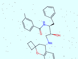 CCc1ccc2c(c1)[C@@H](NC[C@H](O)[C@H](Cc1ccccc1)NC(=O)c1cccc(C)c1)CC1(CCC1)O2